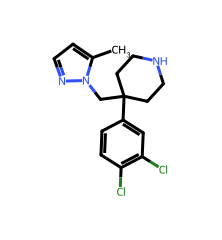 Cc1ccnn1CC1(c2ccc(Cl)c(Cl)c2)CCNCC1